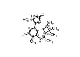 C[C@H](Nc1cc(-c2n[nH]c(=O)o2)cc(F)c1C(F)(F)F)[C@H]1C[C@@H](N)C1(C)C.Cl